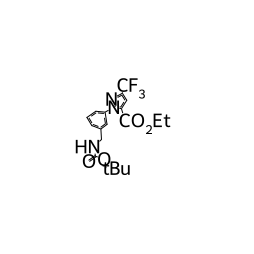 CCOC(=O)c1cc(C(F)(F)F)nn1-c1cccc(CNC(=O)OC(C)(C)C)c1